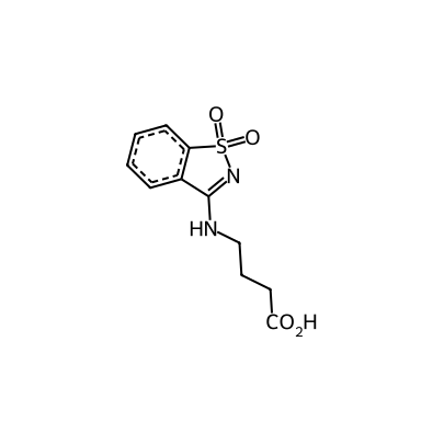 O=C(O)CCCNC1=NS(=O)(=O)c2ccccc21